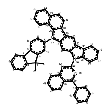 CC1(C)c2ccccc2-c2ccc(-n3c4cc5c(cc4c4ccc6ccccc6c43)c3ccccc3n5-c3nc(-c4ccccc4)c4ccccc4n3)cc21